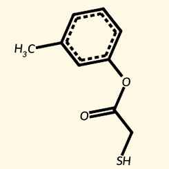 Cc1cccc(OC(=O)CS)c1